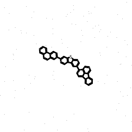 c1ccc2c(c1)-c1cccc3c(-c4ccc5sc6cc(-c7ccc8c(ccc9ccccc98)c7)ccc6c5c4)ccc-2c13